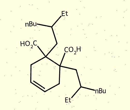 CCCCC(CC)CC1(C(=O)O)CC=CCC1(CC(CC)CCCC)C(=O)O